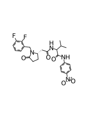 CC(C)C(NC(=O)C[C@@H]1CCC(=O)N1Cc1cccc(F)c1F)C(=O)Nc1ccc([N+](=O)[O-])cc1